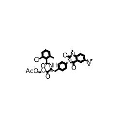 CC(=O)OCOC(=O)[C@H](Cc1ccc(-n2c(=O)c3cc(N(C)C)ccc3n(C)c2=O)cc1)NC(=O)c1c(C)cccc1Cl